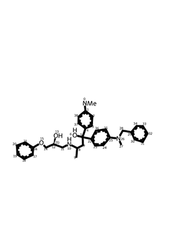 CNc1ccc(C(O)(CC(C)NC[C@H](O)COc2ccccc2)c2ccc(N(C)Cc3ccccc3)cc2)cc1